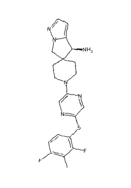 Cc1c(F)ccc(Sc2cnc(N3CCC4(CC3)Cn3nccc3[C@H]4N)cn2)c1F